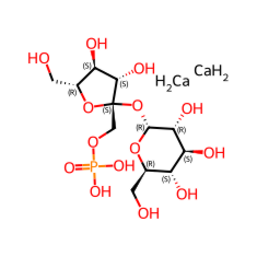 O=P(O)(O)OC[C@@]1(O[C@H]2O[C@H](CO)[C@@H](O)[C@H](O)[C@H]2O)O[C@H](CO)[C@@H](O)[C@@H]1O.[CaH2].[CaH2]